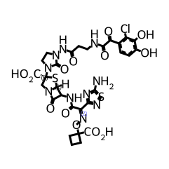 Nc1nc(/C(=N/OC2(C(=O)O)CCC2)C(=O)NC2C(=O)N3C[C@@](C(=O)O)(N4CCN(NC(=O)CCNC(=O)C(=O)c5ccc(O)c(O)c5Cl)C4=O)S[C@H]23)ns1